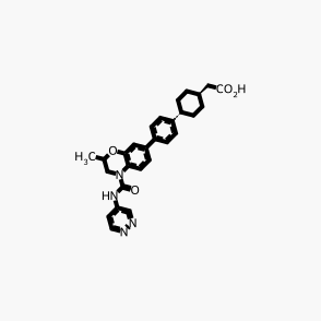 CC1CN(C(=O)Nc2ccnnc2)c2ccc(-c3ccc([C@H]4CC[C@H](CC(=O)O)CC4)cc3)cc2O1